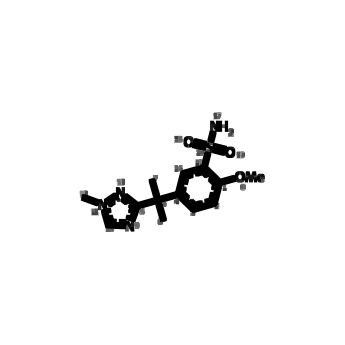 COc1ccc(C(C)(C)c2ncn(C)n2)cc1S(N)(=O)=O